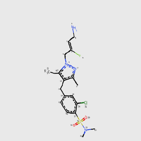 Cc1nn(CC(F)=CCN)c(C(F)(F)F)c1Cc1ccc(S(=O)(=O)N(C)C)c(Cl)c1